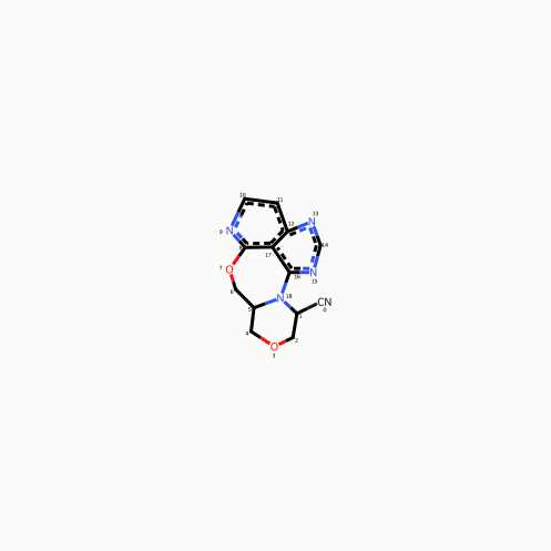 N#CC1COCC2COc3nccc4ncnc(c34)N12